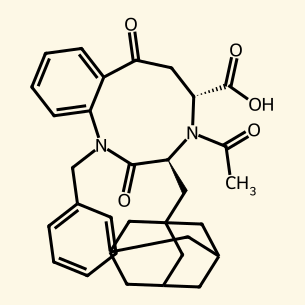 CC(=O)N1[C@@H](C(=O)O)CC(=O)c2ccccc2N(Cc2ccccc2)C(=O)[C@@H]1CC12CC3CC(CC(C3)C1)C2